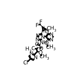 COc1ncnc(OC)c1-n1c(NS(=O)(=O)C(C)C(OC)c2ncc(Cl)cn2)nnc1[C@H]1C[C@@H]1C(F)F